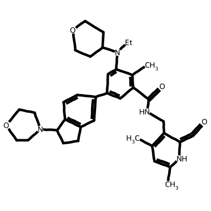 CCN(c1cc(-c2ccc3c(c2)CCC3N2CCOCC2)cc(C(=O)NCC2=C(C)C=C(C)NC2=C=O)c1C)C1CCOCC1